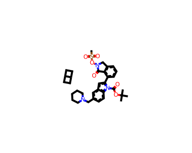 C1CC2CCC12.CC(C)(C)OC(=O)n1c(-c2cccc3c2C(=O)N(OS(C)(=O)=O)C3)cc2cc(CN3CCCCC3)ccc21